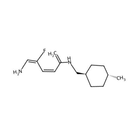 C=C(/C=C\C(F)=C/N)NC[C@H]1CC[C@H](C)CC1